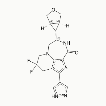 O=C1N[C@@H](C2[C@H]3COC[C@@H]23)CN2CC(F)(F)Cc3c(-c4cn[nH]c4)sc1c32